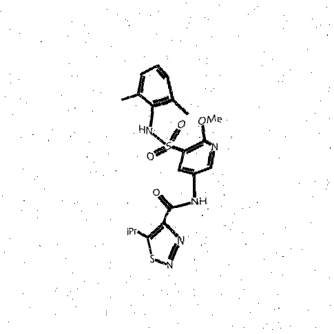 COc1ncc(NC(=O)c2nnsc2C(C)C)cc1S(=O)(=O)Nc1c(C)cccc1C